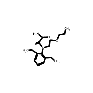 CCCOCCN(C(=O)C(N)Cl)c1c(CC)cccc1CC